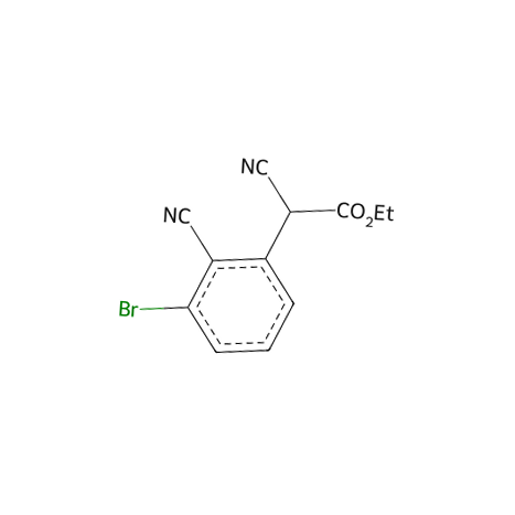 CCOC(=O)C(C#N)c1cccc(Br)c1C#N